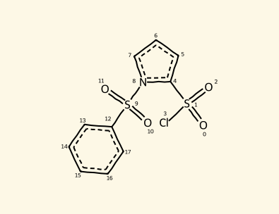 O=S(=O)(Cl)c1cccn1S(=O)(=O)c1ccccc1